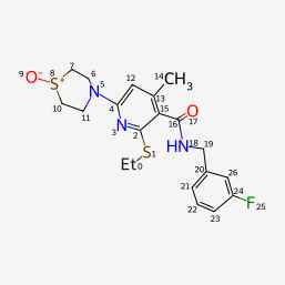 CCSc1nc(N2CC[S+]([O-])CC2)cc(C)c1C(=O)NCc1cccc(F)c1